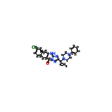 Cc1[nH]c2nc(C(C)N3CCN(c4ccccc4)CC3)nn2c(=O)c1Cc1ccc(Cl)cc1